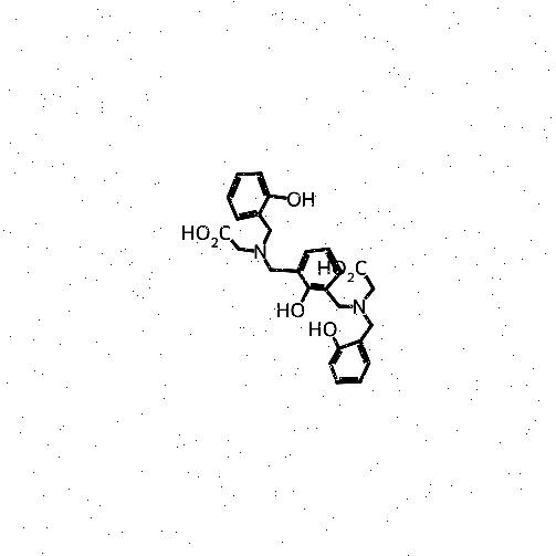 O=C(O)CN(Cc1ccccc1O)Cc1cccc(CN(CC(=O)O)Cc2ccccc2O)c1O